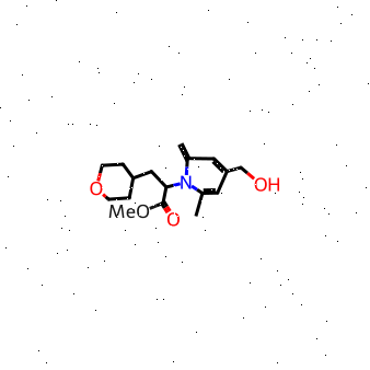 C=C1C=C(CO)C=C(C)N1C(CC1CCOCC1)C(=O)OC